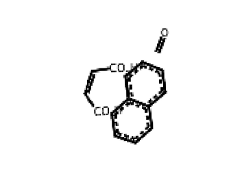 C=O.O=C(O)/C=C\C(=O)O.c1ccc2ccccc2c1